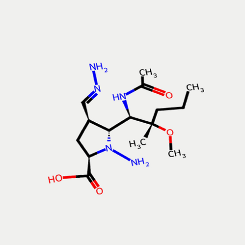 CCC[C@](C)(OC)[C@H](NC(C)=O)[C@H]1[C@H](C=NN)C[C@H](C(=O)O)N1N